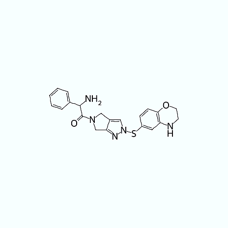 NC(C(=O)N1Cc2cn(Sc3ccc4c(c3)NCCO4)nc2C1)c1ccccc1